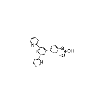 OB(O)Oc1ccc(-c2cc(-c3ccccn3)nc(-c3ccccn3)c2)cc1